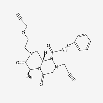 C#CCOCCN1C[C@H]2N(C(=O)CN(CC#C)N2C(=O)NCc2ccccc2)[C@@H](C(C)CC)C1=O